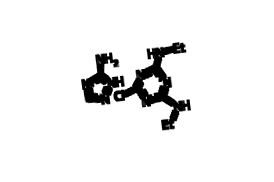 CCNc1nc(Cl)nc(NCC)n1.Nc1ncn[nH]1